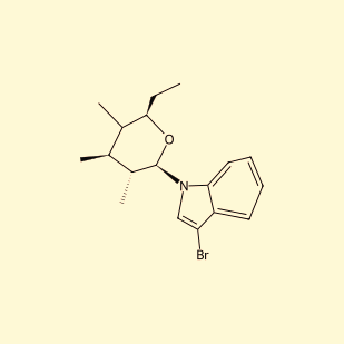 CC[C@H]1O[C@@H](n2cc(Br)c3ccccc32)[C@H](C)[C@@H](C)C1C